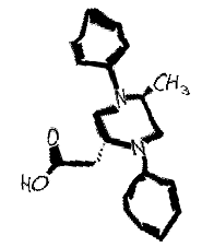 C[C@H]1CN(c2ccccc2)[C@H](CC(=O)O)CN1c1ccccc1